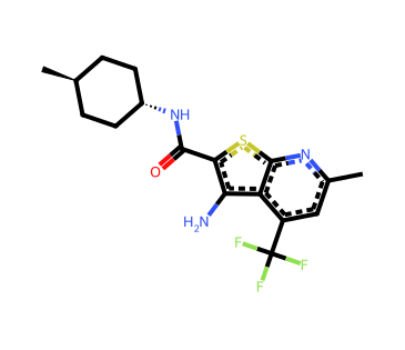 Cc1cc(C(F)(F)F)c2c(N)c(C(=O)N[C@H]3CC[C@H](C)CC3)sc2n1